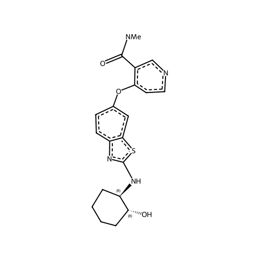 CNC(=O)c1cnccc1Oc1ccc2nc(N[C@@H]3CCCC[C@H]3O)sc2c1